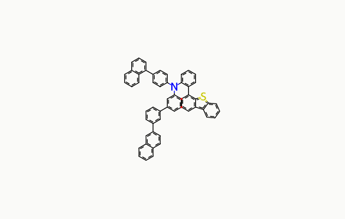 c1cc(-c2cccc(N(c3ccc(-c4cccc5ccccc45)cc3)c3ccccc3-c3cccc4c3sc3ccccc34)c2)cc(-c2ccc3ccccc3c2)c1